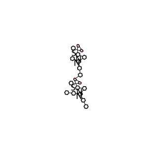 c1ccc(-c2ccc(-c3cc(-c4ccccc4-c4ccc5c(c4)C4(c6ccccc6S5)c5ccccc5-c5c(-c6cccc(-c7ccc(-c8cc(-c9ccccc9-c9ccc%10c(c9)C9(c%11ccccc%11S%10)c%10ccccc%10-c%10ccccc%109)nc(-c9ccccc9)n8)cc7)c6)cccc54)nc(-c4ccc(-c5ccccc5)cc4)n3)cc2)cc1